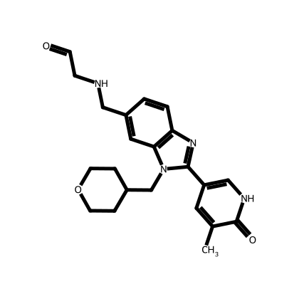 Cc1cc(-c2nc3ccc(CNCC=O)cc3n2CC2CCOCC2)c[nH]c1=O